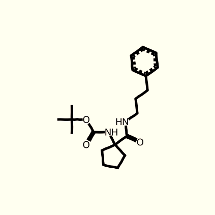 CC(C)(C)OC(=O)NC1(C(=O)NCCCc2ccccc2)CCCC1